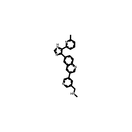 CNCc1cncc(-c2cnc3ccc(-c4nc[nH]c4-c4cccc(C)n4)cc3c2)c1